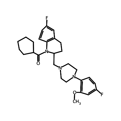 COc1cc(F)ccc1N1CCN(CC2CCc3cc(F)ccc3N2C(=O)C2CCCCC2)CC1